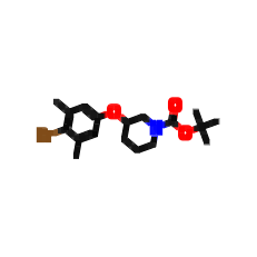 Cc1cc(OC2CCCN(C(=O)OC(C)(C)C)C2)cc(C)c1Br